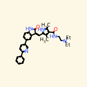 CCN(CC)CCNC(=O)c1c(C)[nH]c(/C=C2\C(=O)Nc3ccc(-c4ccc(-c5ccccc5)nc4)cc32)c1C